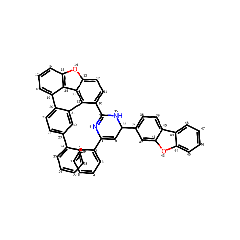 C1=C(c2ccccc2)N=C(c2ccc3oc4cccc5c6ccc(-c7ccccc7)cc6c2c3c45)NC1c1ccc2c(c1)oc1ccccc12